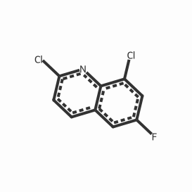 Fc1cc(Cl)c2nc(Cl)ccc2c1